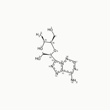 C[C@H](O)[C@@H](CO)O[C@H](CO)c1nnc2c(N)ncnn12